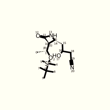 C[C@@H](O[Si](C)(C)C(C)(C)C)[C@H]1C(=O)N[C@@H]1CC(O)CC#N